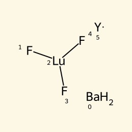 [BaH2].[F][Lu]([F])[F].[Y]